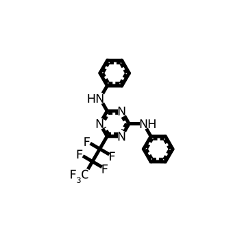 FC(F)(F)C(F)(F)C(F)(F)c1nc(Nc2ccccc2)nc(Nc2ccccc2)n1